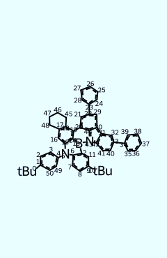 CC(C)(C)c1ccc(N2c3ccc(C(C)(C)C)cc3B3c4c2cc2c(c4-c4cc(-c5ccccc5)cc5c6cc(-c7ccccc7)ccc6n3c45)CCCC2)cc1